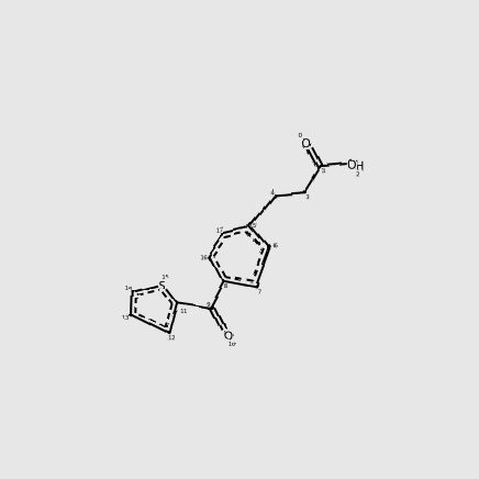 O=C(O)CCc1ccc(C(=O)c2cccs2)cc1